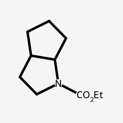 CCOC(=O)N1CCC2CCCC21